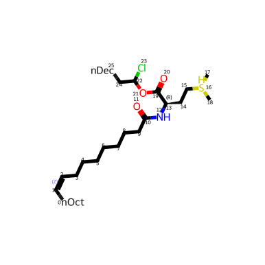 CCCCCCCC/C=C\CCCCCCCC(=O)N[C@H](CC[SH](C)C)C(=O)OC(Cl)CCCCCCCCCCC